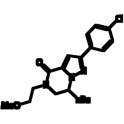 CCCCC1CN(CCOC)C(=O)c2cc(-c3ccc(Cl)cc3)nn21